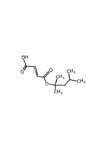 CC(C)CC(C)(C)OC(=O)/C=C/C(=O)O